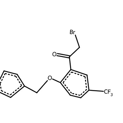 O=C(CBr)c1cc(C(F)(F)F)ccc1OCc1ccccc1